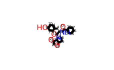 O=C(N[C@@H](Cc1ccc(O)cc1)C(=O)N1CCC2OCC(=O)C21)c1ccccc1